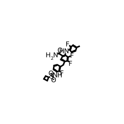 Cc1ccc(Nc2c(C(N)=O)cc(Cc3cccc(NS(=O)(=O)C4CCC4)c3F)c(F)c2F)c(F)c1